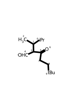 CC(C)C(C)C([C]=O)C(=O)CCC(C)(C)C